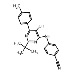 Cc1ccc(-c2nc(C(C)(C)C)nc(Nc3ccc(C#N)cc3)c2O)cc1